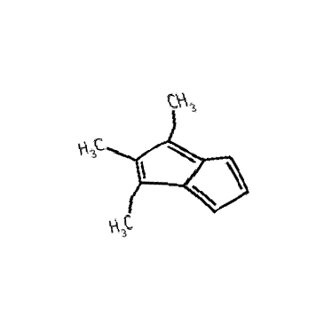 CC1=C(C)C(C)=C2C=CC=C12